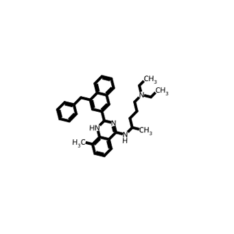 CCN(CC)CCCC(C)NC1=NC(c2cc(Cc3ccccc3)c3ccccc3c2)Nc2c(C)cccc21